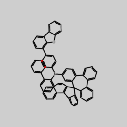 c1ccc(-c2ccccc2N(c2ccc(-c3cccc4c3oc3ccccc34)cc2)c2ccc3c(c2)C2(c4ccccc4-c4ccccc4-3)c3ccccc3-c3c2ccc2ccccc32)cc1